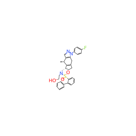 C[C@@H]1C2=C(CC[C@@H]2CN(CCO)S(=O)(=O)c2ccccc2-c2ccccc2)Cc2c1cnn2-c1ccc(F)cc1